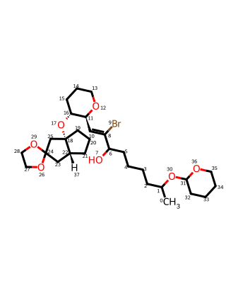 CC(CCCCC(O)C(Br)=C[C@@H]1OCCC[C@H]1O[C@]12CCC[C@@H]1CC1(C2)OCCO1)OC1CCCCO1